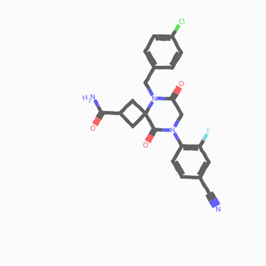 N#Cc1ccc(N2CC(=O)N(Cc3ccc(Cl)cc3)C3(CC(C(N)=O)C3)C2=O)c(F)c1